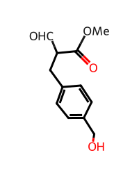 COC(=O)C(C=O)Cc1ccc(CO)cc1